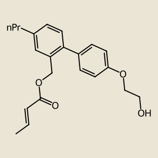 C/C=C/C(=O)OCc1cc(CCC)ccc1-c1ccc(OCCO)cc1